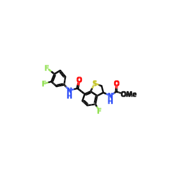 COC(=O)NC1CSc2c(C(=O)Nc3ccc(F)c(F)c3)ccc(F)c21